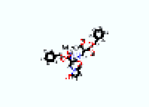 C=C1C=CC(=O)N1CC(C(=O)NCC(C(=O)OC)C(=O)OCc1ccccc1)C(=O)OCc1ccccc1